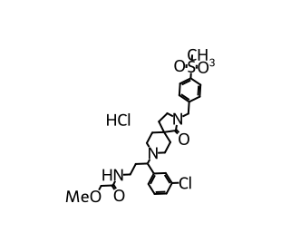 COCC(=O)NCCC(c1cccc(Cl)c1)N1CCC2(CCN(Cc3ccc(S(C)(=O)=O)cc3)C2=O)CC1.Cl